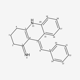 N=C1CCCC2=C1C(=Cc1ccccc1)c1ccccc1N2